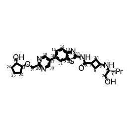 CC(C)[C@@H](CO)NC1CC(C(=O)Nc2nc3ccc(-c4cnc(CO[C@H]5CCC[C@@H]5O)nc4)cc3s2)C1